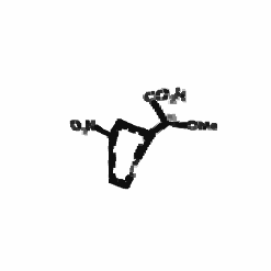 CO[C@H](C(=O)O)c1cccc([N+](=O)[O-])c1